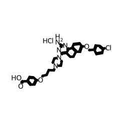 Cl.Nc1nc2c(c(N3CCN(CCCCOc4ccc(C(=O)O)cc4)CC3)n1)CCc1cc(OCc3ccc(Cl)cc3)ccc1-2